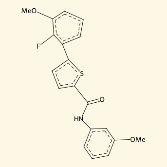 COc1cccc(NC(=O)c2ccc(-c3cccc(OC)c3F)s2)c1